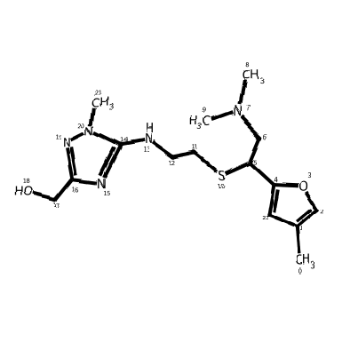 Cc1coc(C(CN(C)C)SCCNc2nc(CO)nn2C)c1